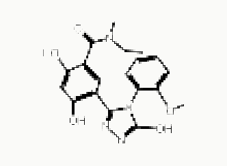 CCN(C)C(=O)c1cc(-c2nnc(O)n2-c2ccccc2OC)c(O)cc1O